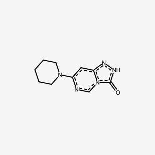 O=c1[nH]nc2cc(N3CCCCC3)ncn12